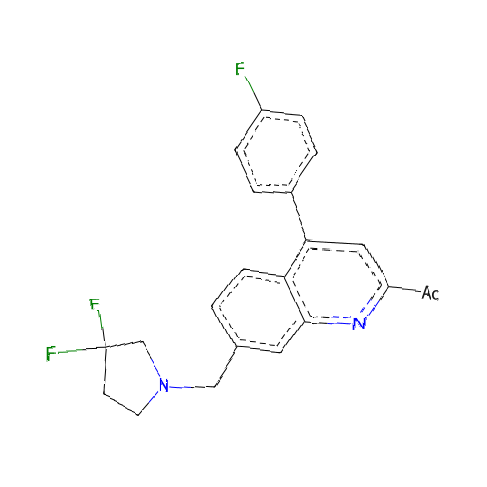 CC(=O)c1cc(-c2ccc(F)cc2)c2ccc(CN3CCC(F)(F)C3)cc2n1